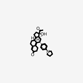 CC(=O)[C@@]1(O)CC[C@H]2[C@@H]3CCC4=CC(=O)CCC4=C3[C@@H](c3ccc(N4CCCC4)cc3)C[C@@]21C